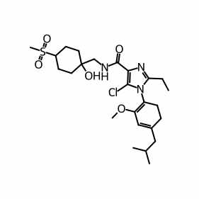 CCc1nc(C(=O)NCC2(O)CCC(S(C)(=O)=O)CC2)c(Cl)n1C1=C(OC)C=C(CC(C)C)CC1